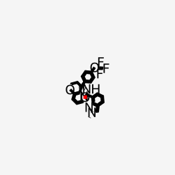 Cn1cc2cccc(C(=O)N[C@]3(c4ccc(OC(F)(F)F)cc4)CCOc4cccnc43)c2n1